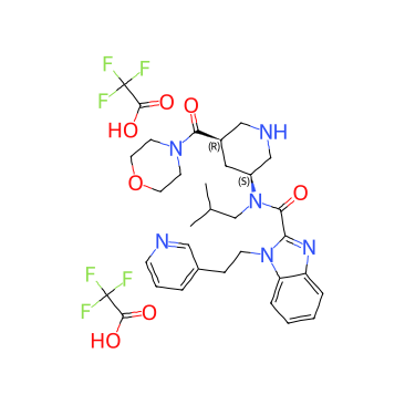 CC(C)CN(C(=O)c1nc2ccccc2n1CCc1cccnc1)[C@@H]1CNC[C@H](C(=O)N2CCOCC2)C1.O=C(O)C(F)(F)F.O=C(O)C(F)(F)F